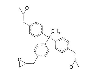 CC(c1ccc(CC2CO2)cc1)(c1ccc(CC2CO2)cc1)c1ccc(CC2CO2)cc1